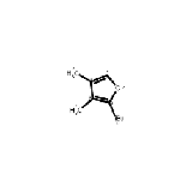 CCC(C)c1occ(C)c1C